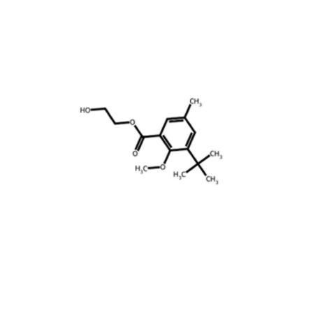 COc1c(C(=O)OCCO)cc(C)cc1C(C)(C)C